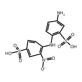 Nc1ccc(Nc2ccc(S(=O)(=O)O)cc2[N+](=O)[O-])c(S(=O)(=O)O)c1